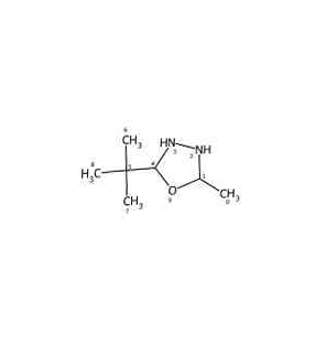 CC1NNC(C(C)(C)C)O1